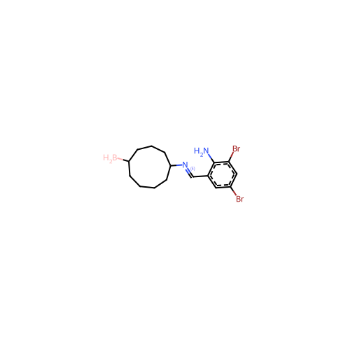 BC1CCCCC(/N=C/c2cc(Br)cc(Br)c2N)CCC1